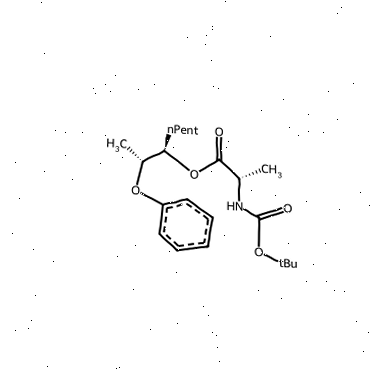 CCCCC[C@@H](OC(=O)[C@H](C)NC(=O)OC(C)(C)C)[C@@H](C)Oc1ccccc1